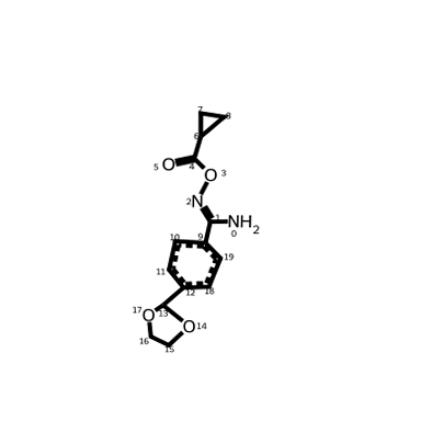 N/C(=N\OC(=O)C1CC1)c1ccc(C2OCCO2)cc1